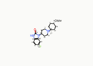 CO[C@H]1CC[C@](C)(N2CCC(n3c(=O)[nH]c4ccc(F)cc43)CC2)CC1